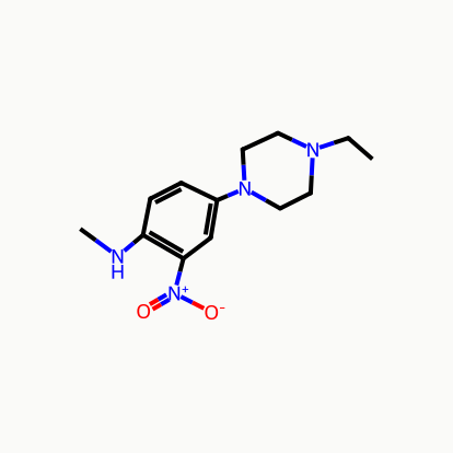 CCN1CCN(c2ccc(NC)c([N+](=O)[O-])c2)CC1